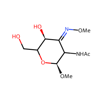 CO/N=C1\C(NC(C)=O)[C@@H](OC)OC(CO)[C@H]1O